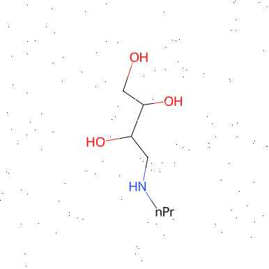 CCCNCC(O)C(O)CO